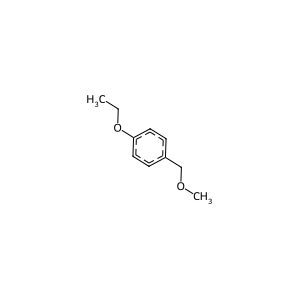 CCOc1ccc(COC)cc1